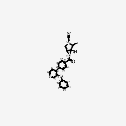 CC1[C@H]2C(CN1C#N)N2C(=O)c1ccc(-c2ccncc2Oc2ccccc2)cc1